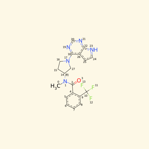 CN(C(=O)c1ccccc1C(F)(F)F)[C@@H]1CCN(c2ncnc3[nH]ccc23)C1